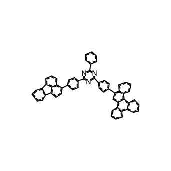 c1ccc(-c2nc(-c3ccc(-c4ccc5c6c(cccc46)-c4ccccc4-5)cc3)nc(-c3ccc(-c4cc5c6ccccc6c6ccccc6c5c5ccccc45)cc3)n2)cc1